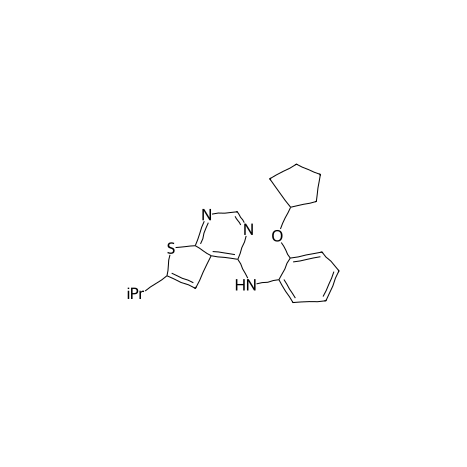 CC(C)c1cc2c(Nc3ccccc3OC3CCCC3)ncnc2s1